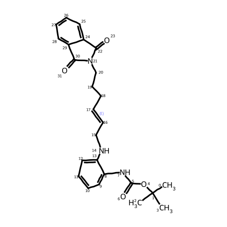 CC(C)(C)OC(=O)Nc1ccccc1NC/C=C/CCCN1C(=O)c2ccccc2C1=O